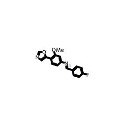 COc1cc(/N=C/c2ccc(F)cc2)ccc1-c1cnco1